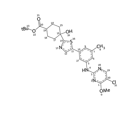 COc1nc(Nc2cc(C)cc(-c3cnc(C4(O)CCC(C(=O)OC(C)(C)C)CC4)s3)c2)ncc1Cl